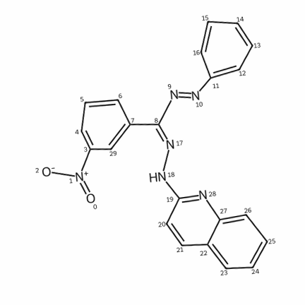 O=[N+]([O-])c1cccc(C(/N=N/c2ccccc2)=N\Nc2ccc3ccccc3n2)c1